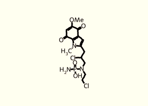 COC1=CC(=O)c2c(cc(CC(Cl)CN(CCCl)P(N)(=O)O)n2C)C1=O